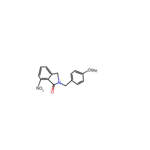 COc1ccc(CN2Cc3cccc([N+](=O)[O-])c3C2=O)cc1